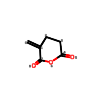 C=C1CCC(=O)OC1=O